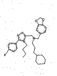 CCCCn1c(CN(CCCC2CCCCC2)Cc2ccc3c(c2)OCO3)cnc1-c1ccc(F)cc1